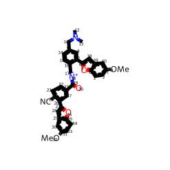 COc1ccc2oc(-c3cc(CN(C)C)ccc3C#[N+]C(=O)c3ccc(C#N)c(-c4cc5cc(OC)ccc5o4)c3)cc2c1